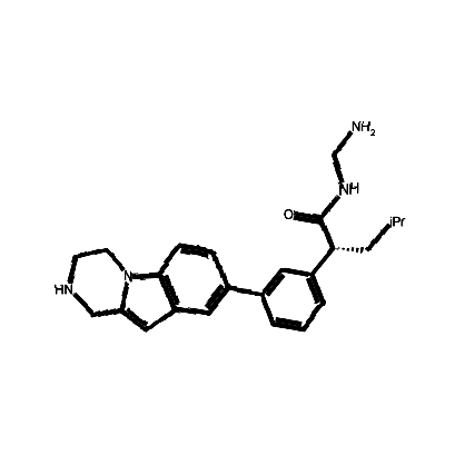 CC(C)C[C@@H](C(=O)NCN)c1cccc(-c2ccc3c(c2)cc2n3CCNC2)c1